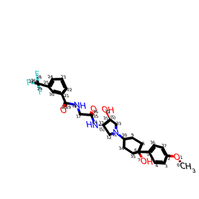 COc1ccc(C2(O)CCC(N3C[C@H](NC(=O)CNC(=O)c4cccc(C(F)(F)F)c4)[C@@H](O)C3)CC2)cc1